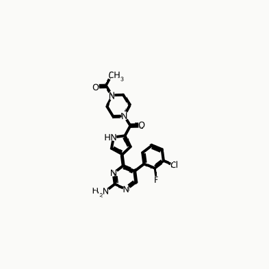 CC(=O)N1CCN(C(=O)c2cc(-c3nc(N)ncc3-c3cccc(Cl)c3F)c[nH]2)CC1